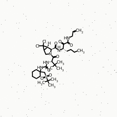 C=CCNC(=O)C(=O)[C@H](CCCC)NC(=O)[C@@H]1[C@@H]2C(CN1C(=O)[C@@H](NC(=O)NC1(CS(=O)(=O)C(C)(C)C)CCCCC1)C(C)(C)C)C2(Cl)Cl